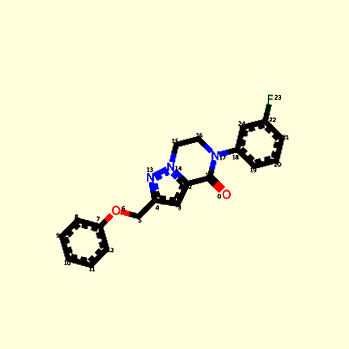 O=C1c2cc(COc3ccccc3)nn2CCN1c1cccc(F)c1